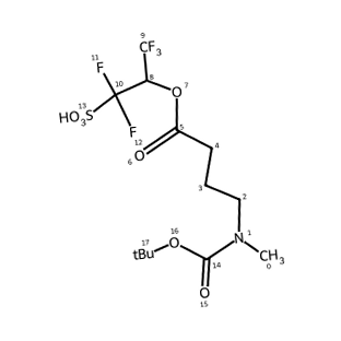 CN(CCCC(=O)OC(C(F)(F)F)C(F)(F)S(=O)(=O)O)C(=O)OC(C)(C)C